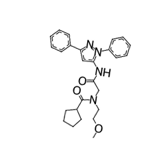 COCCN(CC(=O)Nc1cc(-c2ccccc2)nn1-c1ccccc1)C(=O)C1CCCC1